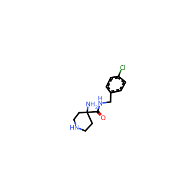 NC1(C(=O)NCc2ccc(Cl)cc2)CCNCC1